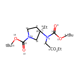 CCOC(=O)CN(C(=O)OC(C)(C)C)[C@]1(CC)CCN(C(=O)OC(C)(C)C)C1